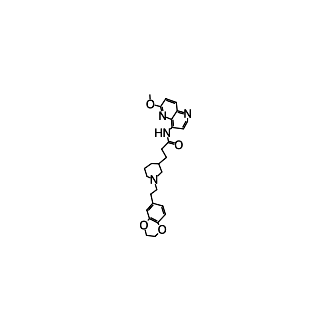 COc1ccc2nccc(NC(=O)CCC3CCCN(CCc4ccc5c(c4)OCCO5)C3)c2n1